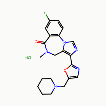 CN1Cc2c(-c3ncc(CN4CCCCC4)o3)ncn2-c2ccc(F)cc2C1=O.Cl